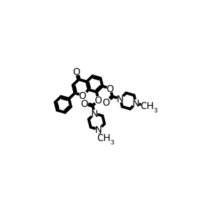 CN1CCN(C(=O)Oc2ccc3c(=O)cc(-c4ccccc4)oc3c2OC(=O)N2CCN(C)CC2)CC1